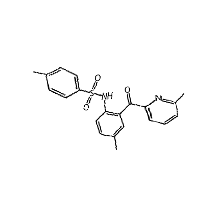 Cc1ccc(S(=O)(=O)Nc2ccc(C)cc2C(=O)c2cccc(C)n2)cc1